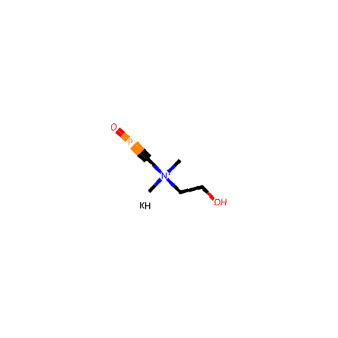 C[N+](C)(C#P=O)CCO.[KH]